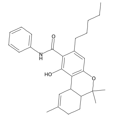 CCCCCc1cc2c(c(O)c1C(=O)Nc1ccccc1)C1C=C(C)CCC1C(C)(C)O2